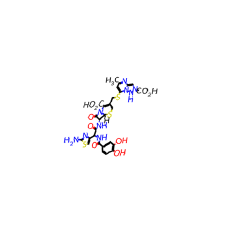 CC1=NC2=CN(C(=O)O)NN2C(SCC2=C(C(=O)O)N3C(=O)[C@@H](NC(=O)C(NC(=O)c4ccc(O)c(O)c4)c4csc(N)n4)[C@H]3SC2)=C1